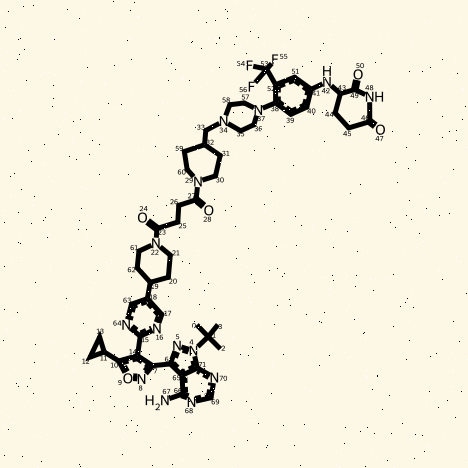 CC(C)(C)n1nc(-c2noc(C3CC3)c2-c2ncc(C3CCN(C(=O)CCC(=O)N4CCC(CN5CCN(c6ccc(NC7CCC(=O)NC7=O)cc6C(F)(F)F)CC5)CC4)CC3)cn2)c2c(N)ncnc21